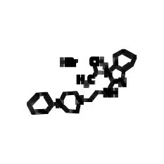 Br.CC(C)n1c(NCCN2CCN(c3ccccc3)CC2)nc2ccccc21